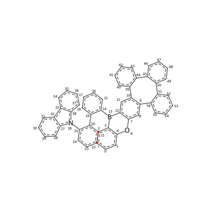 c1ccc2c(c1)Oc1cc3c(cc1B2c1ccccc1-c1ccccc1-n1c2ccccc2c2ccccc21)-c1ccccc1-c1ccccc1-c1ccccc1-3